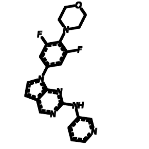 Fc1cc(-n2ccc3cnc(Nc4cccnc4)nc32)cc(F)c1N1CCOCC1